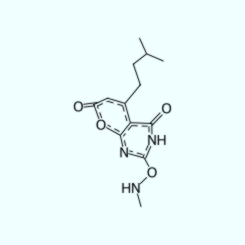 CNOc1nc2oc(=O)cc(CCC(C)C)c2c(=O)[nH]1